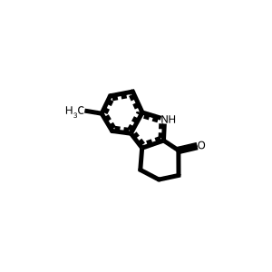 Cc1ccc2[nH]c3c(c2c1)CCCC3=O